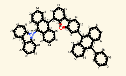 c1ccc(-c2c3ccccc3c(-c3ccc4c(c3)oc3c(-c5c6ccccc6c(-n6c7ccccc7c7ccccc76)c6ccccc56)cccc34)c3ccccc23)cc1